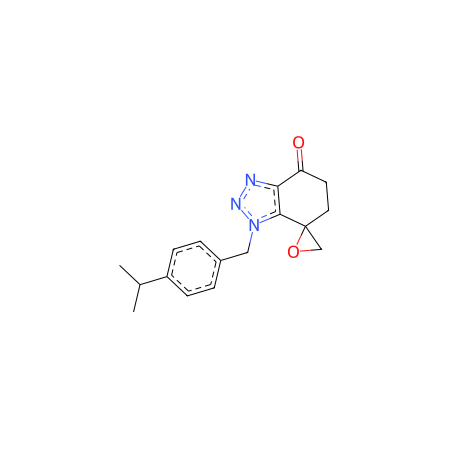 CC(C)c1ccc(Cn2nnc3c2C2(CCC3=O)CO2)cc1